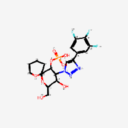 O=P(O)(O)OC1C(n2cc(-c3cc(F)c(F)c(F)c3)nn2)C(O)C(CO)OC12CCCCO2